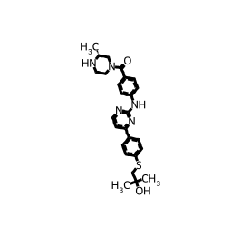 C[C@@H]1CN(C(=O)c2ccc(Nc3nccc(-c4ccc(SCC(C)(C)O)cc4)n3)cc2)CCN1